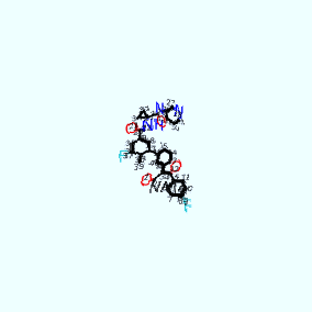 CNC(=O)c1c(-c2ccc(F)cc2)oc2ccc(C3C=C(C(=O)NC4(c5nc6cnccc6o5)CC4)C=C(F)C3C)cc12